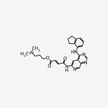 CN(C)CCCOC(=O)C=CC(=O)Nc1cc2c(Nc3cccc4c3CCC4)ncnc2cn1